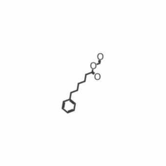 O=COC(=O)CCCCCc1ccccc1